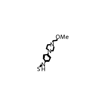 COCCN1CCN(c2ccc(N[C]=S)cc2)CC1